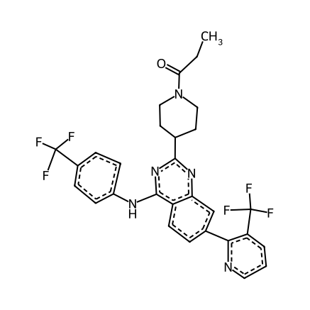 CCC(=O)N1CCC(c2nc(Nc3ccc(C(F)(F)F)cc3)c3ccc(-c4ncccc4C(F)(F)F)cc3n2)CC1